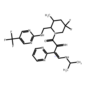 CC(C)N/C=C(\C(=N)C(=O)N1CC(F)(F)CC(C)C1CNc1ncc(C(F)(F)F)cn1)c1ncccn1